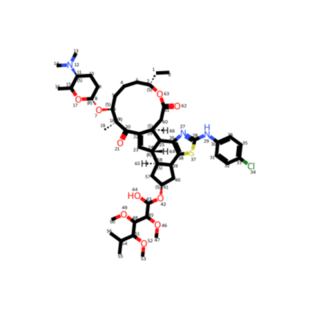 CC[C@H]1CCC[C@H](O[C@H]2CC[C@H](N(C)C)C(C)O2)[C@@H](C)C(=O)C2=C[C@@H]3C(c4nc(Nc5ccc(Cl)cc5)sc4C4C[C@@H](OC(O)C(OC)C(OC)C(OC)C(C)C)C[C@H]43)[C@@H]2CC(=O)O1